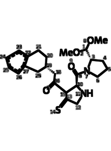 COC(OC)[C@@H]1CCCN1C(=O)[C@H]1NCC(=S)C1C(=O)C[C@H]1CCc2ccccc2C1